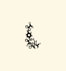 CC(C)NC(C)C(=O)NC(C)C(=O)Nc1ccc(COC(=O)C(C)C)cc1